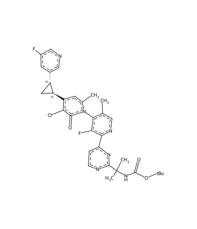 Cc1cnc(-c2ccnc(C(C)(C)NC(=O)OC(C)(C)C)n2)c(F)c1-n1c(C)cc([C@H]2C[C@@H]2c2cncc(F)c2)c(Cl)c1=O